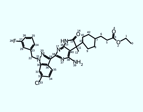 CCOC(=O)CCC1CCC(C2(C)C(=O)Nc3nc(-c4nn(Cc5cccc(F)c5)c5cc(Cl)ccc45)nc(N)c32)CC1